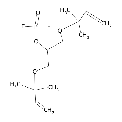 C=CC(C)(C)OCC(COC(C)(C)C=C)OP(=O)(F)F